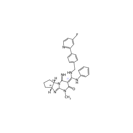 Cn1c(=O)/c(=C(/NCc2ccc(-c3cc(F)ccn3)cc2)Nc2ccccc2)c(=N)n2c1=N[C@@H]1CCC[C@@H]12